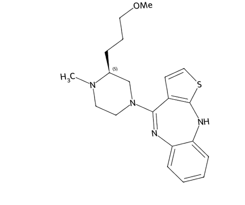 COCCC[C@H]1CN(C2=Nc3ccccc3Nc3sccc32)CCN1C